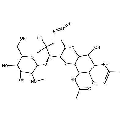 CNC1C(O[C@H](C(OC)OC2C(O)C(O)C(NC(C)=O)C(O)C2NC(C)=O)C(C)(O)CN=[N+]=[N-])OC(CO)C(O)C1O